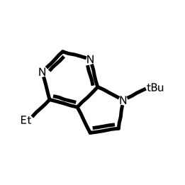 CCc1ncnc2c1ccn2C(C)(C)C